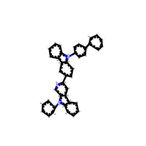 c1ccc(-c2ccc(-n3c4ccccc4c4cc(-c5cc6c7ccccc7n(-c7ccccc7)c6cn5)ccc43)cc2)cc1